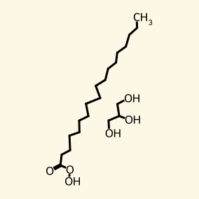 CCCCCCCCCCCCCCCCCC(=O)OO.OCC(O)CO